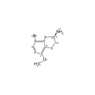 COc1ccc(Br)c2c1CC[C@H](N)C2